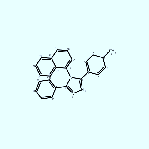 CC1C=CC(c2nnc(-c3ccccc3)n2-c2cccc3ccccc23)=CC1